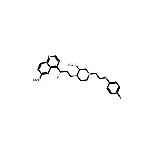 COc1ccc2nccc([C@@H](F)CC[C@@H]3CCN(CCSc4ccc(F)cc4)C[C@@H]3C(=O)O)c2c1